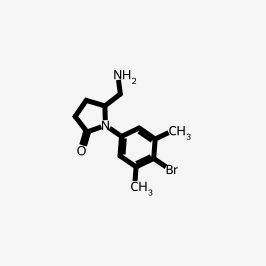 Cc1cc(N2C(=O)CCC2CN)cc(C)c1Br